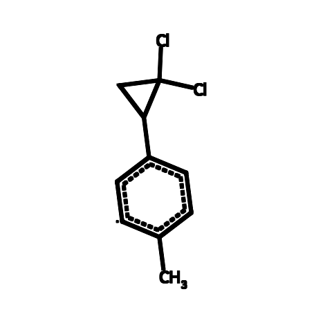 Cc1[c]cc(C2CC2(Cl)Cl)cc1